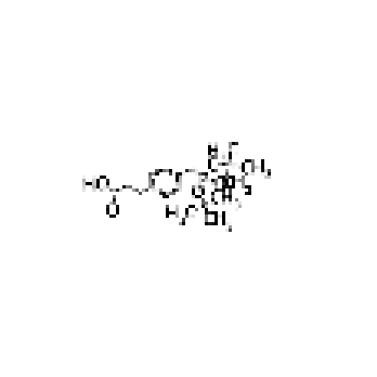 CC(C)(C)OP(=O)(Cc1ccc(CCC(=O)O)cc1)OC(C)(C)C